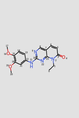 CCn1c(=O)ccc2cnc(Nc3ccc(OC)c(OC)c3)nc21